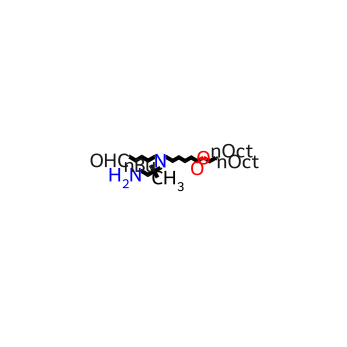 CCCCCCCCC(CCCCCCCC)COC(=O)CCCCCN(CCCCCC=O)CC(C)(CCN)CCCC